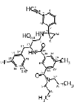 C#Cc1cccc(C2(NC[C@@H](O)[C@H](Cc3cc(F)cc(F)c3)NC(=O)c3cc(C)cc(C(=O)N(CCC)CCC)c3)CC2)c1